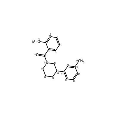 COc1ncccc1C(=O)N1CCCC(c2cccc(C)c2)C1